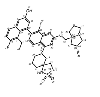 CCc1c(F)ccc2cc(O)cc(-c3ccc4c(N5CCCC6(CNS(=O)(=O)N6)C5)nc(OC[C@@]56CCCN5C[C@H](F)C6)nc4c3F)c12